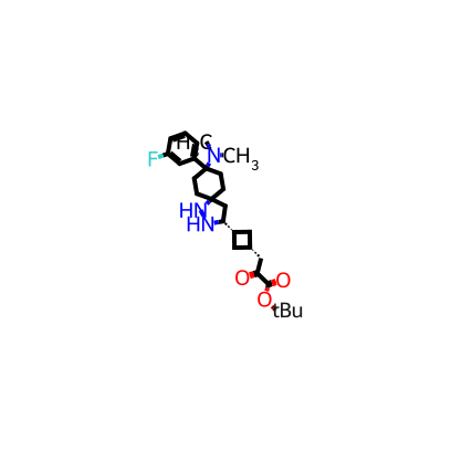 CN(C)C1(c2cccc(F)c2)CCC2(CC1)CC([C@H]1C[C@@H](CC(=O)C(=O)OC(C)(C)C)C1)NN2